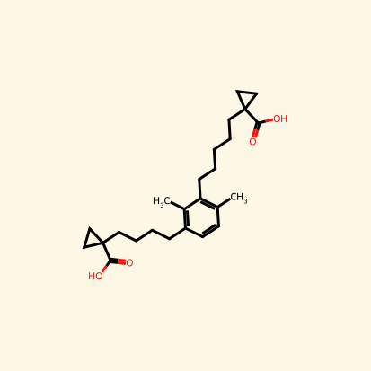 Cc1ccc(CCCCC2(C(=O)O)CC2)c(C)c1CCCCCC1(C(=O)O)CC1